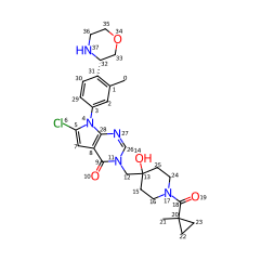 Cc1cc(-n2c(Cl)cc3c(=O)n(CC4(O)CCN(C(=O)C5(C)CC5)CC4)cnc32)ccc1[C@H]1COCCN1